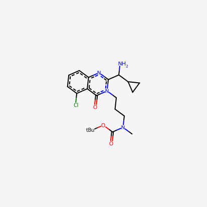 CN(CCCn1c(C(N)C2CC2)nc2cccc(Cl)c2c1=O)C(=O)OC(C)(C)C